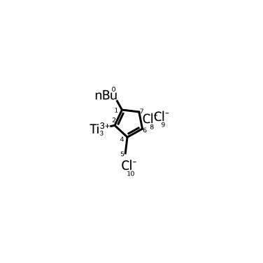 CCCCC1=[C]([Ti+3])C(C)=CC1.[Cl-].[Cl-].[Cl-]